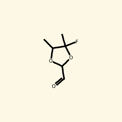 CC1OC(C=O)OC1(C)F